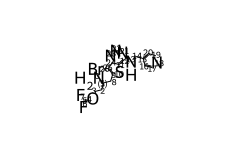 N[C@@H](CCOC(F)F)Cc1sc2c(NCc3ccncc3)nnnc2c1Br